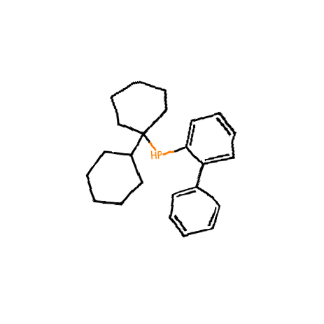 c1ccc(-c2ccccc2PC2(C3CCCCC3)CCCCC2)cc1